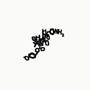 COc1ccc(COC(=O)[C@@H]2N3C(=O)[C@@H](NC(=O)Cc4ccc(N)cc4)[C@H]3[S@@+]([O-])C2(C)C)cc1